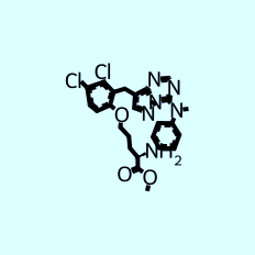 COC(=O)[C@H](N)CCCOc1ccc(Cl)c(Cl)c1Cc1cnn2c(N(C)c3ccccc3)ncnc12